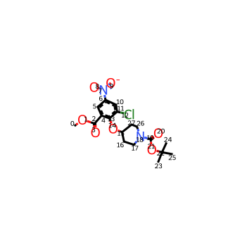 COC(=O)c1cc([N+](=O)[O-])cc(Cl)c1OC1CCN(C(=O)OC(C)(C)C)CC1